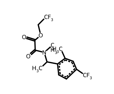 Cc1cc(C(F)(F)F)ccc1C(C)N(C)C(=O)C(=O)OCC(F)(F)F